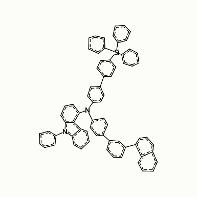 c1ccc(-n2c3ccccc3c3c(N(c4ccc(-c5ccc([Si](c6ccccc6)(c6ccccc6)c6ccccc6)cc5)cc4)c4ccc(-c5cccc(-c6cccc7ccccc67)c5)cc4)cccc32)cc1